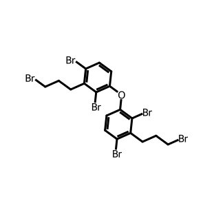 BrCCCc1c(Br)ccc(Oc2ccc(Br)c(CCCBr)c2Br)c1Br